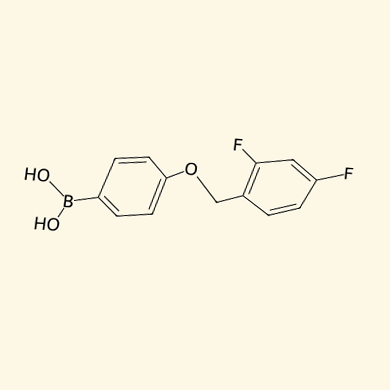 OB(O)c1ccc(OCc2ccc(F)cc2F)cc1